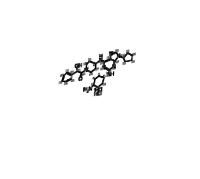 Cl.Cl.N[C@H]1CC[C@H](Nc2nc(NC3CCN(C(=O)C(O)c4ccccc4)CC3)c3ncn(C4CCCC4)c3n2)CC1